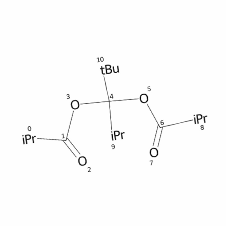 CC(C)C(=O)OC(OC(=O)C(C)C)(C(C)C)C(C)(C)C